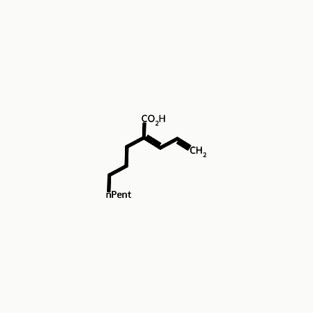 C=CC=C(CCCCCCCC)C(=O)O